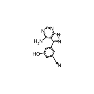 N#Cc1cc(O)cc(C2=N[N]c3ncnc(N)c32)c1